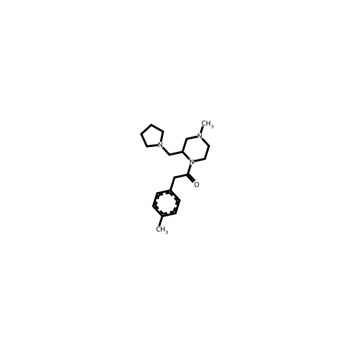 Cc1ccc(CC(=O)N2CCN(C)CC2CN2CCCC2)cc1